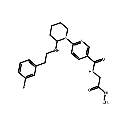 CNC(=O)CNC(=O)c1ccc(N2CCCCC2NCCc2cccc(F)c2)nc1